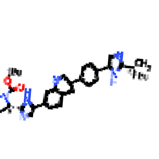 CCCC[C@H](C)c1ncc(-c2ccc(-c3cnc4cc(-c5cnc([C@@H]6CCCN6C(=O)OC(C)(C)C)[nH]5)ccc4c3)cc2)[nH]1